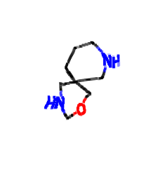 C1CNCC2(C1)CNCOC2